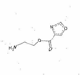 NCCOC(=O)c1cocn1